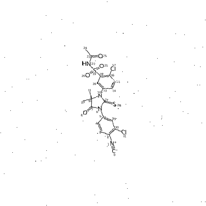 [C-]#[N+]c1ccc(N2C(=O)C(C)(C)N(c3ccc(Cl)c(S(=O)(=O)NC(C)=O)c3)C2=S)cc1Cl